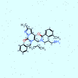 Cc1cccc(C(=O)N(CCCN)[C@@H](c2cc3cc(C)nn3c(=O)n2Cc2ccccc2)C(C)C)c1